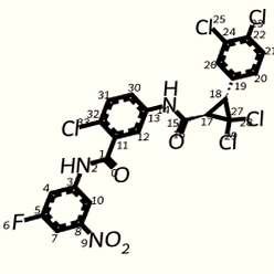 O=C(Nc1cc(F)cc([N+](=O)[O-])c1)c1cc(NC(=O)[C@H]2[C@H](c3ccc(Cl)c(Cl)c3)C2(Cl)Cl)ccc1Cl